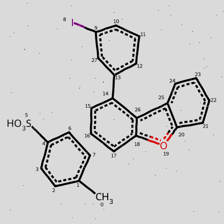 Cc1ccc(S(=O)(=O)O)cc1.Ic1cccc(-c2cccc3oc4ccccc4c23)c1